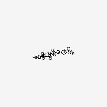 CC1(OC(=O)N2CCC(COc3cnc(N4CCN(S(=O)(=O)C5CNC5)CC4=O)cn3)CC2)CC1